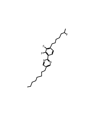 CCCCCCCCc1cnc(-c2ccc(CCCCCC(C)F)c(F)c2F)nc1